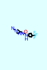 N#CN1CCC(CNC(=O)Nc2ccc(C(F)(F)F)cc2)C1